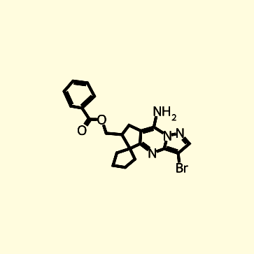 Nc1c2c(nc3c(Br)cnn13)C1(CCCC1)C(COC(=O)c1ccccc1)C2